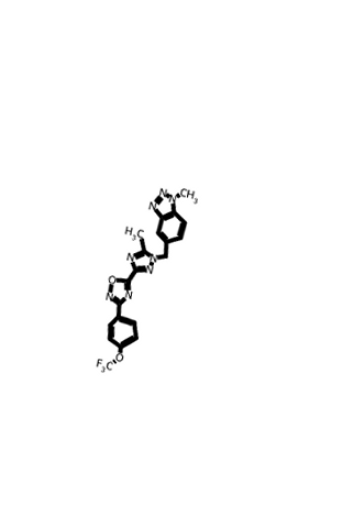 Cc1nc(-c2nc(-c3ccc(OC(F)(F)F)cc3)no2)nn1Cc1ccc2c(c1)nnn2C